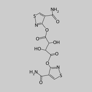 NC(=O)c1csnc1OC(=O)C(O)C(O)C(=O)Oc1nscc1C(N)=O